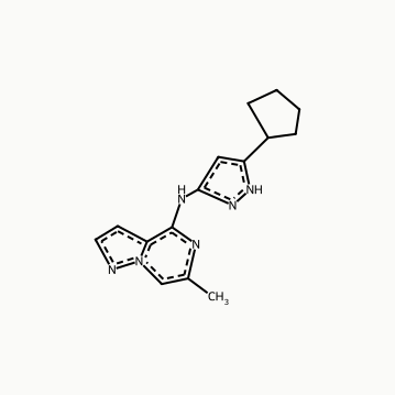 Cc1cn2nccc2c(Nc2cc(C3CCCC3)[nH]n2)n1